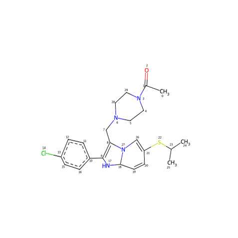 CC(=O)N1CCN(CC2=C(c3ccc(Cl)cc3)NC3C=CC(SC(C)C)=CN23)CC1